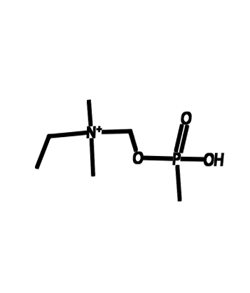 CC[N+](C)(C)COP(C)(=O)O